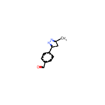 CC1=NN=C(c2ccc(C=O)cc2)C1